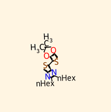 CCCCCCc1nc2csc(-c3scc4c3OCC(C)(C)CO4)c2nc1CCCCCC